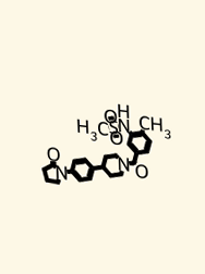 Cc1ccc(C(=O)N2CCC(c3ccc(N4CCCC4=O)cc3)CC2)cc1NS(C)(=O)=O